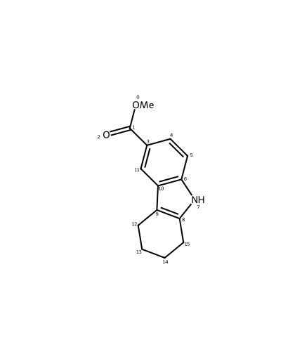 COC(=O)c1ccc2[nH]c3c(c2c1)CCCC3